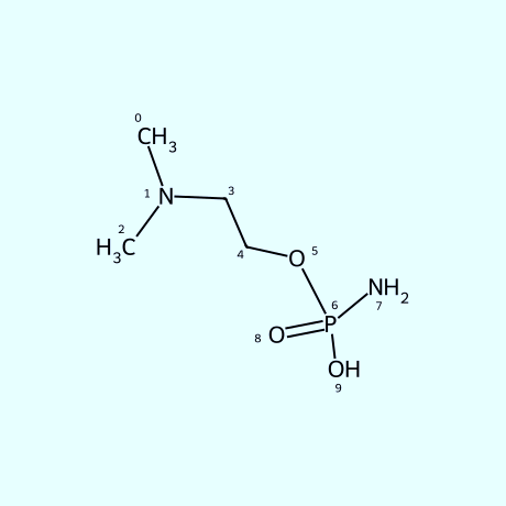 CN(C)CCOP(N)(=O)O